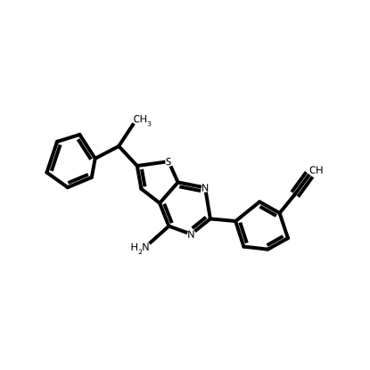 C#Cc1cccc(-c2nc(N)c3cc(C(C)c4ccccc4)sc3n2)c1